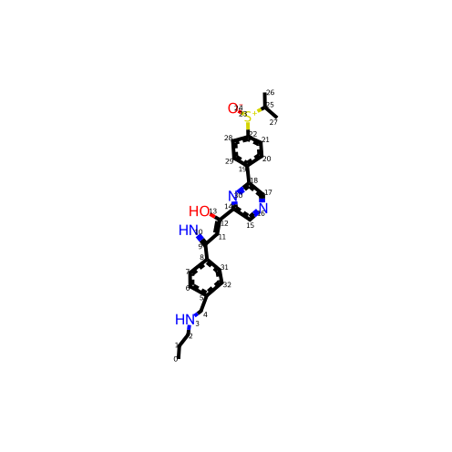 CCCNCc1ccc(C(=N)/C=C(\O)c2cncc(-c3ccc([S+]([O-])C(C)C)cc3)n2)cc1